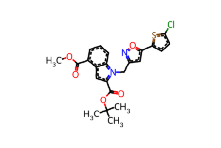 COC(=O)c1cccc2c1cc(C(=O)OC(C)(C)C)n2Cc1cc(-c2ccc(Cl)s2)on1